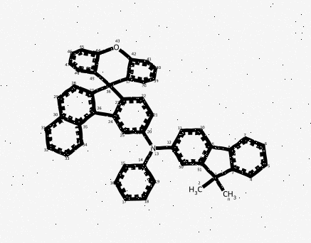 CC1(C)c2ccccc2-c2ccc(N(c3ccccc3)c3ccc4c(c3)-c3c(ccc5ccccc35)C43c4ccccc4Oc4ccccc43)cc21